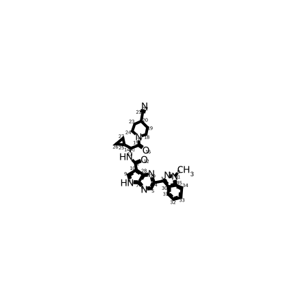 Cn1nc(-c2cnc3[nH]cc(C(=O)N[C@@H](C(=O)N4CCC(C#N)CC4)C4CC4)c3n2)c2ccccc21